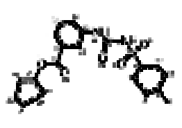 Cc1ccc(S(=O)(=O)NC(=O)Nc2cccc(C(=O)Oc3ccccc3)c2)cc1